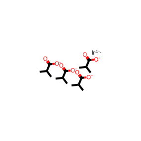 CC(C)C(=O)[O-].CC(C)C(=O)[O-].CC(C)C(=O)[O-].CC(C)C(=O)[O-].[Ir+4]